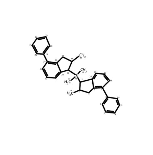 CC1Cc2c(-c3ccccc3)cccc2C1[Si](C)(C)C1c2cccc(-c3ccccc3)c2CC1C